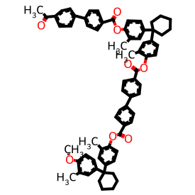 COc1ccc(C2(c3ccc(OC(=O)c4ccc(-c5ccc(C(=O)Oc6ccc(C7(c8ccc(OC(=O)c9ccc(-c%10ccc(C(C)=O)cc%10)cc9)c(C)c8)CCCCC7)cc6C)cc5)cc4)c(C)c3)CCCCC2)cc1C